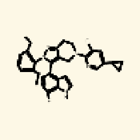 CCc1cccc(CC)c1-n1nc2c(c1-c1ccc(F)c3[nH]ccc13)CN(c1ncc(C3CC3)cc1F)CC2